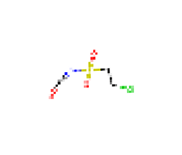 O=C=NS(=O)(=O)CCCl